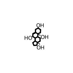 C[C@]12CC[C@H](O)CC1=C[C@H](O)C1C2[C@@H](O)C[C@@]2(C)C1CC[C@@H]2O